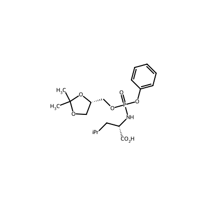 CC(C)C[C@H](NP(=O)(OC[C@@H]1COC(C)(C)O1)Oc1ccccc1)C(=O)O